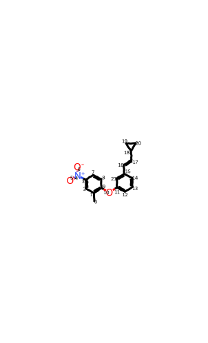 Cc1cc([N+](=O)[O-])ccc1Oc1cccc(C=CC2CC2)c1